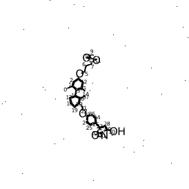 Cc1cc(OCCCS(C)(=O)=O)cc(C)c1-c1cccc(COc2ccc(-c3cc(O)n[s+]3[O-])cc2)c1C